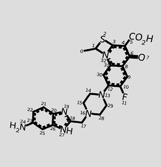 CC1Sc2c(C(=O)O)c(=O)c3cc(F)c(N4CCN(Cc5nc6ccc(N)cc6[nH]5)CC4)cc3n21